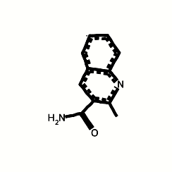 Cc1nc2cc[c]cc2cc1C(N)=O